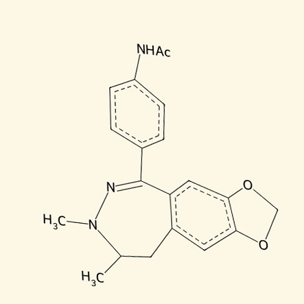 CC(=O)Nc1ccc(C2=NN(C)C(C)Cc3cc4c(cc32)OCO4)cc1